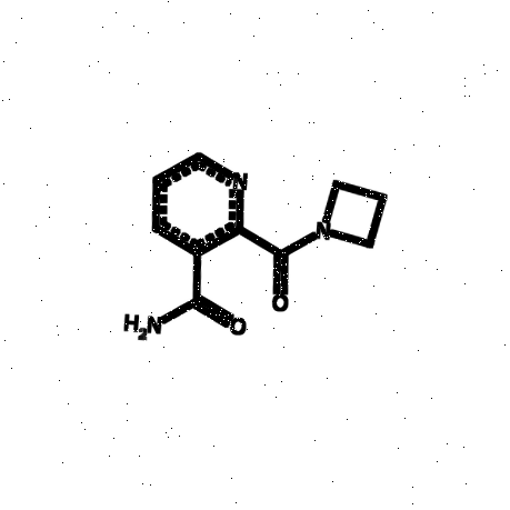 NC(=O)c1cccnc1C(=O)N1CCC1